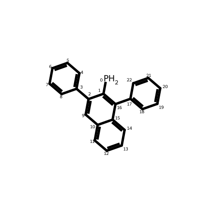 Pc1c(-c2ccccc2)cc2ccccc2c1-c1ccccc1